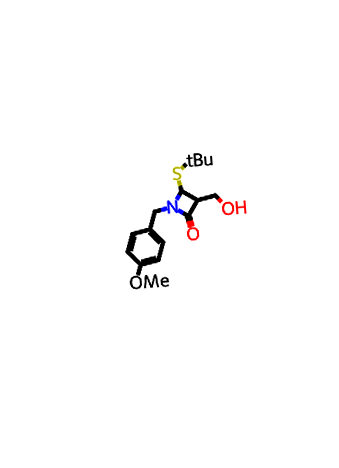 COc1ccc(CN2C(=O)C(CO)C2SC(C)(C)C)cc1